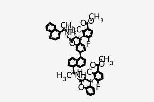 COC(=O)c1ccc(F)c([C@@H]2C[C@H](CN[C@H](C)c3cccc4ccccc34)Oc3cc(-c4cccc5c([C@@H](C)NC[C@H]6C[C@H](c7c(F)ccc(C(=O)OC)c7C)c7ccccc7O6)cccc45)ccc32)c1C